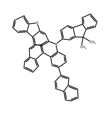 CC1(C)c2ccccc2-c2ccc(N(c3ccc4c(c3)oc3ccccc34)c3ccc(-c4ccc5ccccc5c4)cc3-c3cccc4ccccc34)cc21